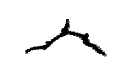 CCCCCCCCCCCCOC(=O)CCCCCCCCCCOc1ccc(SC)cc1OCCCCCCCCCCC(=O)OCCCCCCCCCCCC